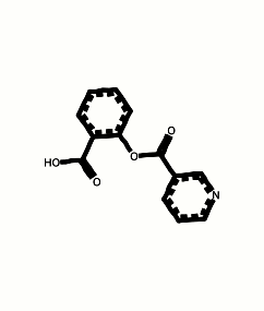 O=C(Oc1ccccc1C(=O)O)c1cccnc1